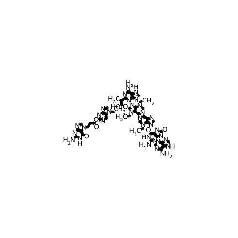 CC(C(=O)O)c1nc(N)c2[nH]cnc2n1.CCN1CN=Cc2c1ncn2CC.CCn1cnc2ncncc21.CCn1cncc2ncnc1-2.Nc1nc2c(c(=O)[nH]1)=NC(=O)N=2.Nc1nc2ncn(CCC(=O)O)c2c(=O)[nH]1.Nc1ncnc2nc[nH]c12